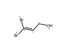 OCC=C(Br)Br